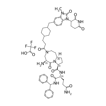 Cn1c(=O)n(C2CCC(=O)NC2=O)c2ccc(CC3CCC(CCC(=O)N4CC[C@H]5CC[C@@H](C(=O)N[C@@H](CCC(N)=O)C(=O)NC(c6ccccc6)c6ccccc6)N5C(=O)[C@@H](N)C4)CC3)cc21.O=C(O)C(F)(F)F